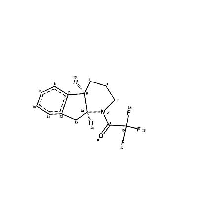 O=C(N1CCC[C@@H]2c3ccccc3C[C@@H]21)C(F)(F)F